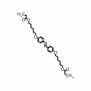 C=CC(=O)OCCCCCCOc1ccc(/N=N/c2ccc(OCCCCCCOC(=O)CC)cc2)cc1